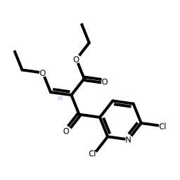 CCO/C=C(\C(=O)OCC)C(=O)c1ccc(Cl)nc1Cl